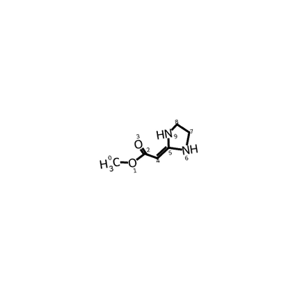 COC(=O)C=C1NCCN1